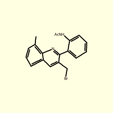 CC(=O)Nc1ccccc1-c1nc2c(C)cccc2cc1CBr